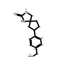 O=C1NC2(CCC(c3ccc(CO)cc3)C2)CO1